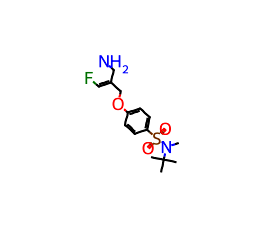 CN(C(C)(C)C)S(=O)(=O)c1ccc(OCC(=CF)CN)cc1